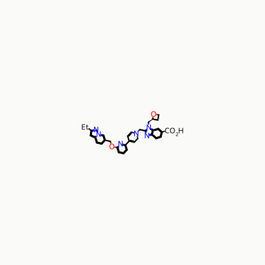 CCc1cc2ccc(COc3cccc(C4=CCN(Cc5nc6ccc(C(=O)O)cc6n5C[C@@H]5CCO5)C=C4)n3)cn2n1